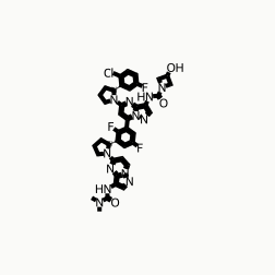 CN(C)C(=O)Nc1cnn2ccc(N3CCC[C@@H]3c3cc(F)cc(-c4cc(N5CCC[C@@H]5c5cc(F)ccc5Cl)nc5c(NC(=O)N6CC(O)C6)cnn45)c3F)nc12